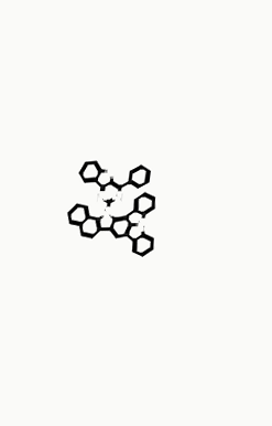 c1ccc(-c2nc(-n3c4c5ccccc5ccc4c4cc5c6ccccc6n6c7ccccc7c(c43)c56)nc3c2oc2ccccc23)cc1